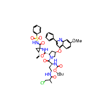 C=C[C@@H]1C[C@]1(NC(=O)[C@@H]1C[C@@H](Oc2cc(-c3ccccc3)nc3cc(OC)ccc23)CN1C(=O)[C@H](CCNC(=O)C(C)CCl)NC(=O)OC(C)(C)C)C(=O)NS(=O)(=O)c1ccccc1